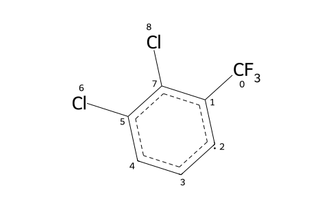 FC(F)(F)c1[c]ccc(Cl)c1Cl